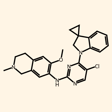 COc1cc2c(cc1Nc1ncc(Cl)c(N3CC4(CC4)c4ccccc43)n1)CN(C)CC2